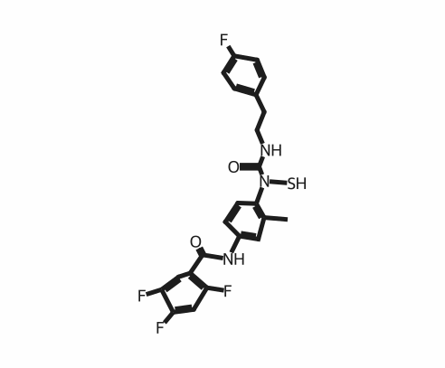 Cc1cc(NC(=O)c2cc(F)c(F)cc2F)ccc1N(S)C(=O)NCCc1ccc(F)cc1